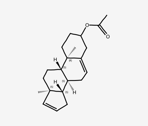 CC(=O)OC1CC[C@@]2(C)C(=CC[C@H]3[C@@H]4CC=C[C@@]4(C)CC[C@@H]32)C1